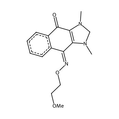 COCCON=C1C2=C(C(=O)c3ccccc31)N(C)CN2C